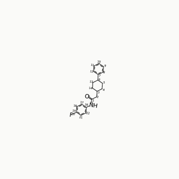 O=C(CC1CCC(c2ccccc2)CC1)Nc1ccc(F)cc1